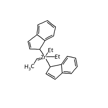 C[CH]=[Zr]([CH2]C)([CH2]C)([CH]1C=Cc2ccccc21)[CH]1C=Cc2ccccc21